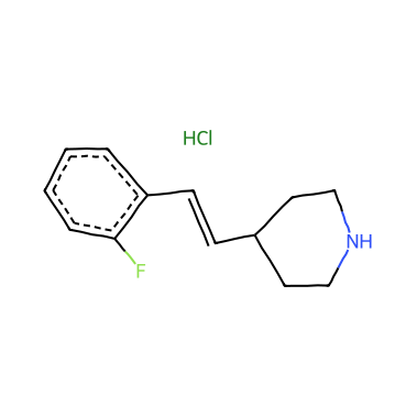 Cl.Fc1ccccc1C=CC1CCNCC1